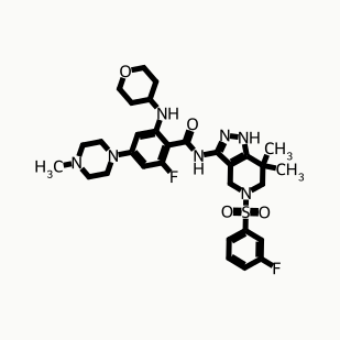 CN1CCN(c2cc(F)c(C(=O)Nc3n[nH]c4c3CN(S(=O)(=O)c3cccc(F)c3)CC4(C)C)c(NC3CCOCC3)c2)CC1